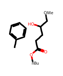 CCCCOC(=O)CCC(O)COC.Cc1ccccc1